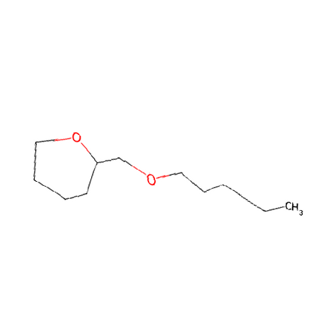 CCCCCOCC1CCCCO1